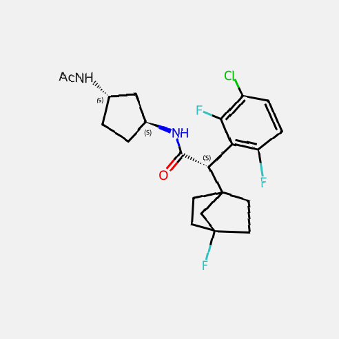 CC(=O)N[C@H]1CC[C@H](NC(=O)[C@H](c2c(F)ccc(Cl)c2F)C23CCC(F)(CC2)C3)C1